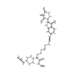 CC(C)(C)OC(=O)N(CCCOCCC#Cc1ccc2c(c1)CN(C1CCC(=O)NC1=O)C2=O)[C@H]1CC[C@@H](N=[N+]=[N-])CC1